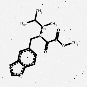 COC(=O)C(=O)N(Cc1ccc2scnc2c1)[C@H](C)C(C)C